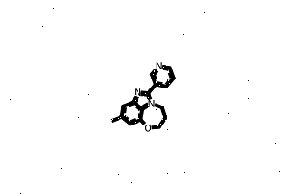 Cc1cc2c3c(c1)nc(-c1cccnc1)n3CCCO2